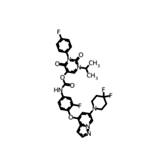 CC(C)n1cc(OC(=O)Nc2ccc(Oc3cc(N4CCC(F)(F)CC4)cn4nccc34)c(F)c2)c(=O)n(-c2ccc(F)cc2)c1=O